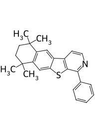 CC1(C)CCC(C)(C)c2cc3c(cc21)sc1c(-c2ccccc2)nccc13